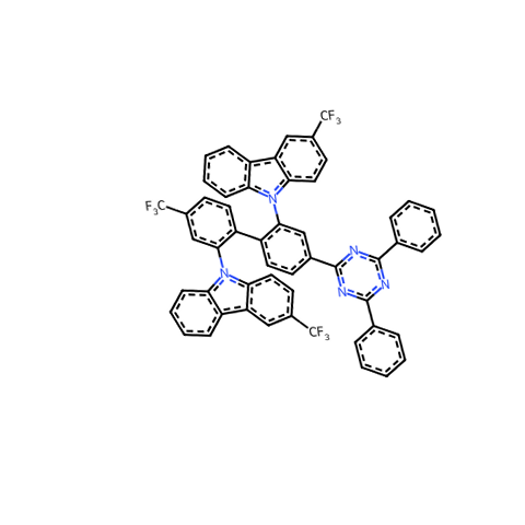 FC(F)(F)c1ccc(-c2ccc(-c3nc(-c4ccccc4)nc(-c4ccccc4)n3)cc2-n2c3ccccc3c3cc(C(F)(F)F)ccc32)c(-n2c3ccccc3c3cc(C(F)(F)F)ccc32)c1